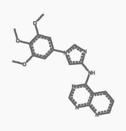 COc1cc(-n2cnc(Nc3ncnc4ncccc34)c2)cc(OC)c1OC